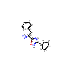 N[C@@H](Cc1ccccc1)c1nc(-c2ccccc2)no1